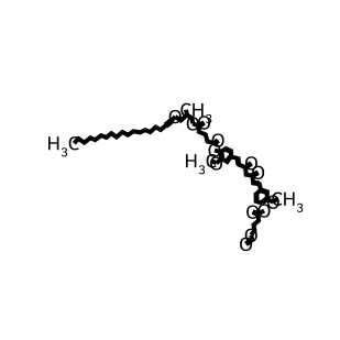 CCCCCCCCCCCCCCCCCC#COCC(C)COC(=O)CCCC(=O)Oc1ccc(/C=C/C(=O)CC(=O)/C=C/c2ccc(OC(=O)CCCOC=O)c(OC)c2)cc1OC